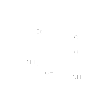 C=C.CCC(CO)(CO)CO.N.N